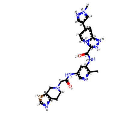 Cc1ncc(NC(=O)CN2CCc3ncsc3C2)cc1NC(=O)c1nnc2cc(-c3cnn(C)c3)ccn12